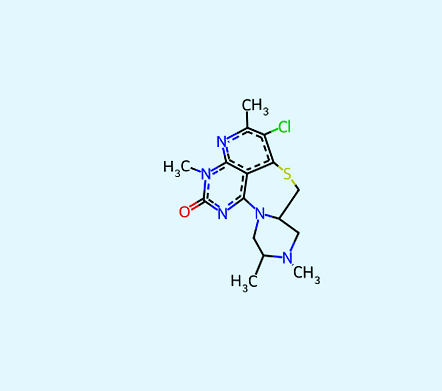 Cc1nc2c3c(nc(=O)n2C)N2CC(C)N(C)CC2CSc3c1Cl